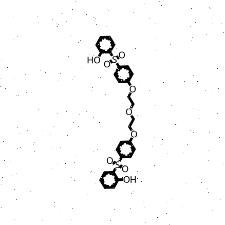 O=S(=O)(c1ccc(OCCOCCOc2ccc(S(=O)(=O)c3ccccc3O)cc2)cc1)c1ccccc1O